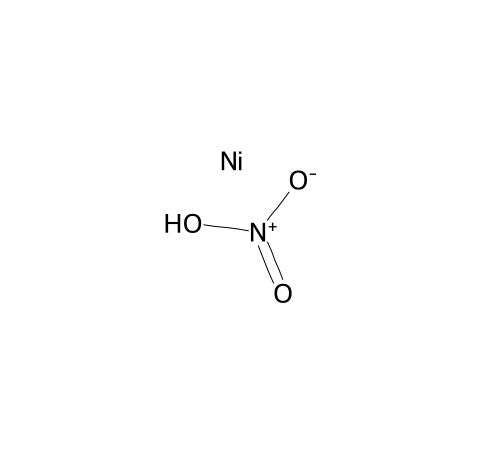 O=[N+]([O-])O.[Ni]